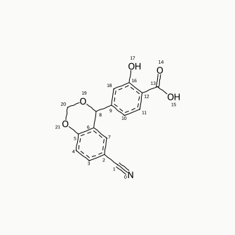 N#Cc1ccc2c(c1)C(c1ccc(C(=O)O)c(O)c1)OCO2